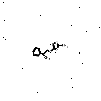 CC(CSc1nnc(N)s1)c1ccccc1